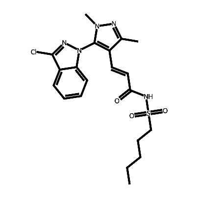 CCCCCS(=O)(=O)NC(=O)C=Cc1c(C)nn(C)c1-n1nc(Cl)c2ccccc21